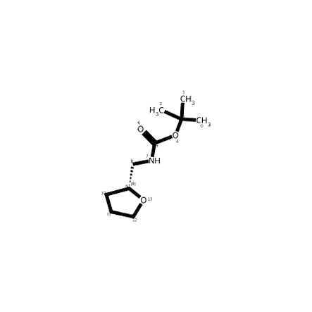 CC(C)(C)OC(=O)NC[C@H]1CCCO1